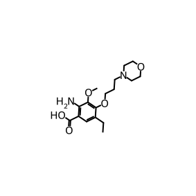 CCc1cc(C(=O)O)c(N)c(OC)c1OCCCN1CCOCC1